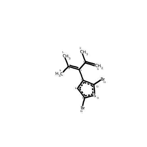 C=C(C)C(=C(C)C)c1cc(Br)sc1Br